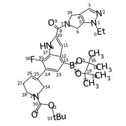 CCn1ncc2c1CN(C(=O)c1cc3c(B4OC(C)(C)C(C)(C)O4)cc(C4=CCCN(C(=O)OC(C)(C)C)C4)c(F)c3[nH]1)C2